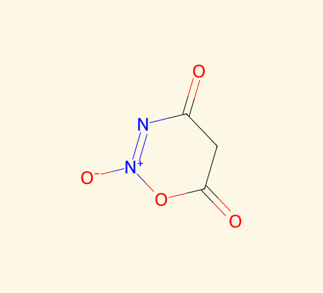 O=C1CC(=O)O[N+]([O-])=N1